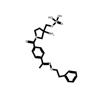 C/C(=N\OCCc1ccccc1)c1ccc(C(=O)N2CCC(N)(COP(=O)(O)O)C2)cc1